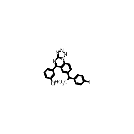 O=C(O)C(c1ccc(I)cc1)c1ccc2c(c1)c(-c1cccc(Cl)c1)nc1nnnn12